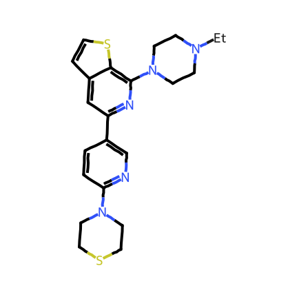 CCN1CCN(c2nc(-c3ccc(N4CCSCC4)nc3)cc3ccsc23)CC1